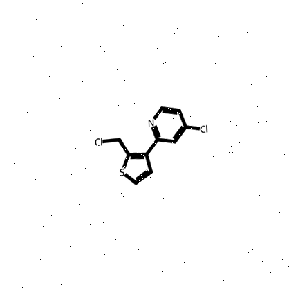 ClCc1sccc1-c1cc(Cl)ccn1